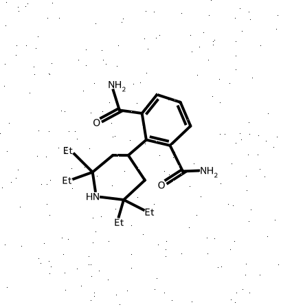 CCC1(CC)CC(c2c(C(N)=O)cccc2C(N)=O)CC(CC)(CC)N1